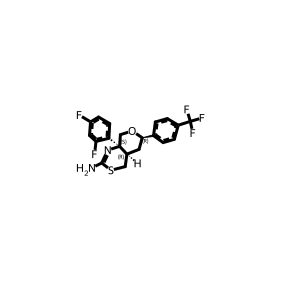 NC1=N[C@@]2(c3ccc(F)cc3F)CO[C@@H](c3ccc(C(F)(F)F)cc3)C[C@H]2CS1